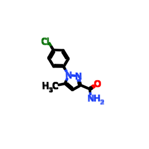 Cc1cc(C(N)=O)nn1-c1ccc(Cl)cc1